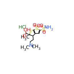 CN(C)CCC1C2=C(SC1(C)C(=O)O)S(=O)(=O)C(S(N)(=O)=O)=C2.Cl